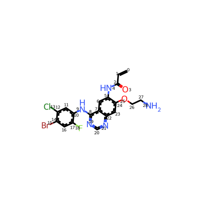 C=CC(=O)Nc1cc2c(Nc3cc(Cl)c(Br)cc3F)ncnc2cc1OCCN